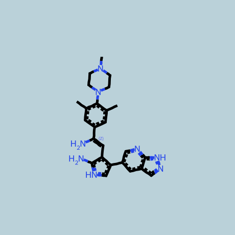 Cc1cc(/C(N)=C/c2c(-c3cnc4[nH]ncc4c3)c[nH]c2N)cc(C)c1N1CCN(C)CC1